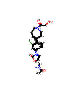 CC(=O)NC[C@H]1CN(c2ccc(C3=CCCN(C(=O)CO)CC3)c(F)c2)C(=O)O1